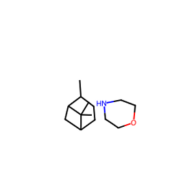 C1COCCN1.CC1CCC2CC1C2(C)C